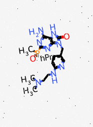 CCC[P@](C)(=O)c1nc(N)c2[nH]c(=O)n(Cc3ccc(NCCN(C)C)nc3)c2n1